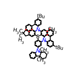 Cc1cc2c3c(c1)N(c1ccc(C(C)(C)C)cc1-c1ccccc1)c1cc4c(cc1B3c1ccc(N3c5ccccc5C5(C)CCCCC35C)cc1N2c1ccc(C(C)(C)C)cc1-c1ccccc1)CC(C)(C)C4